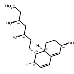 C[C@H]1C=CC2=C[C@H](O)CC[C@@H]2[C@H]1CC[C@@H](O)C[C@@H](O)CC(=O)O